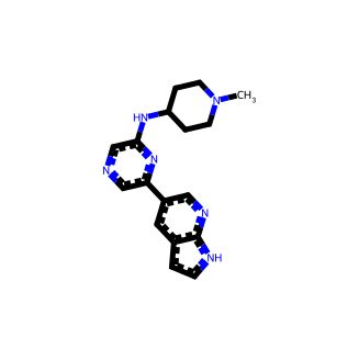 CN1CCC(Nc2cncc(-c3cnc4[nH]ccc4c3)n2)CC1